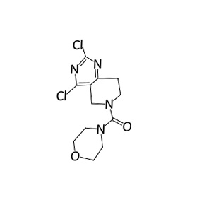 O=C(N1CCOCC1)N1CCc2nc(Cl)nc(Cl)c2C1